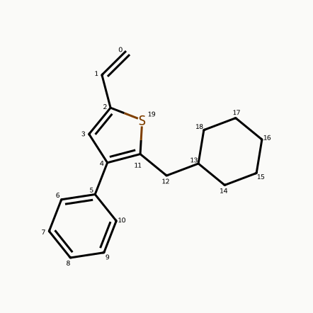 C=Cc1cc(-c2ccccc2)c(CC2CCCCC2)s1